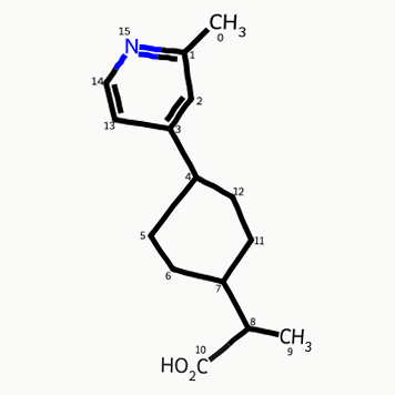 Cc1cc(C2CCC(C(C)C(=O)O)CC2)ccn1